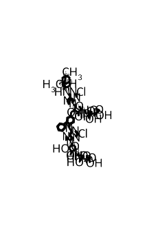 C[C@]12C[C@@H]3C[C@](C)(C1)C[C@@](Nc1nc(Cl)nc4c1ncn4[C@@H]1O[C@H](CNP(=O)(O)CP(=O)(O)O)C(O)C1Oc1ccc4c(c1)c1ccccc1n4-c1nc(Cl)nc4c1ncn4[C@@H]1O[C@H](CNP(=O)(O)CP(=O)(O)O)C(O)C1O)(C3)C2